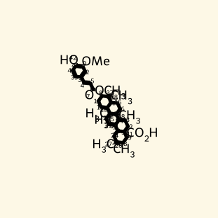 COc1cc(/C=C/C(=O)O[C@H]2CC[C@@]3(C)C(CC[C@]4(C)C3CC=C3C5CC(C)(C)CC[C@]5(C(=O)O)CC[C@]34C)C2(C)C)ccc1O